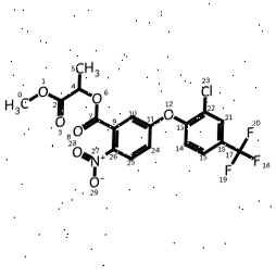 COC(=O)C(C)OC(=O)c1cc(Oc2ccc(C(F)(F)F)cc2Cl)ccc1[N+](=O)[O-]